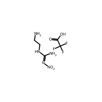 NCCN/C(N)=N/[N+](=O)[O-].O=C(O)C(F)(F)F